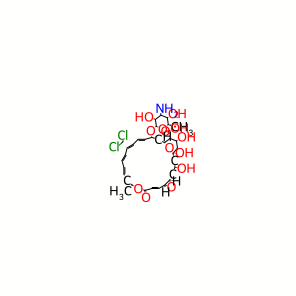 C[C@@H]1C/C=C/C=C/C=C/C=C/[C@H](O[C@@H]2O[C@H](C)[C@@H](O)[C@H](N)[C@@H]2O)C[C@@H]2O[C@](O)(C[C@@H](O)C[C@H]3O[C@@H]3/C=C/C(=O)O1)C[C@H](O)[C@H]2C(=O)O.ClCCl